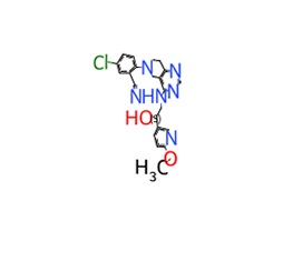 COc1ccc([C@H](O)CNc2ncnc3c2CN(c2ccc(Cl)cc2C#N)CC3)cn1